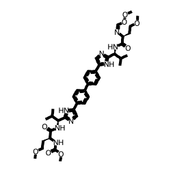 COCC[C@H](/N=C\OOC)C(=O)N[C@H](c1ncc(-c2ccc(-c3ccc(-c4cnc([C@@H](NC(=O)[C@H](CCOC)NC(=O)OC)C(C)C)[nH]4)cc3)cc2)[nH]1)C(C)C